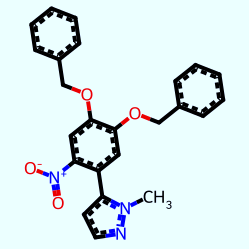 Cn1nccc1-c1cc(OCc2ccccc2)c(OCc2ccccc2)cc1[N+](=O)[O-]